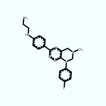 CN1Cc2nc(-c3ccc(NCCN)cc3)nnc2N(c2ccc(F)cc2)C1